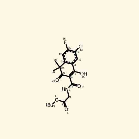 CC(C)(C)OC(=O)CNC(=O)C1=C(O)c2cc(Cl)c(F)cc2C(C)(C)C1=O